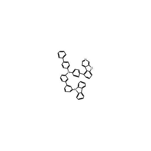 c1ccc(-c2ccc(N(c3ccc(-c4cccc5oc6cnccc6c45)cc3)c3cccc(-c4cccc(-n5c6ccccc6c6ccccc65)c4)c3)cc2)cc1